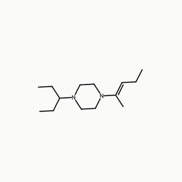 CCC=C(C)N1CCN(C(CC)CC)CC1